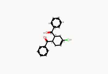 O=C(c1ccccc1)C1CC=C(Cl)CC1C(=O)c1ccccc1